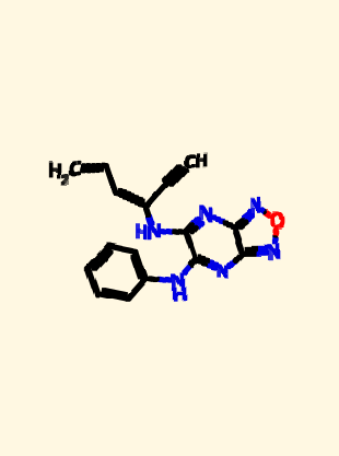 C#C/C(=C\C=C)Nc1nc2nonc2nc1Nc1ccccc1